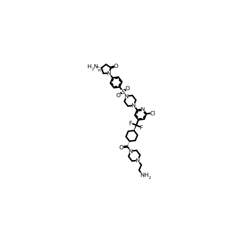 NCCN1CCN(C(=O)[C@H]2CC[C@H](C(F)(F)c3cc(Cl)nc(N4CCN(S(=O)(=O)c5ccc(N6C[C@H](N)CC6=O)cc5)CC4)c3)CC2)CC1